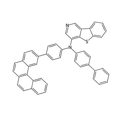 c1ccc(-c2ccc(N(c3ccc(-c4ccc5ccc6ccc7ccccc7c6c5c4)cc3)c3cncc4c3sc3ccccc34)cc2)cc1